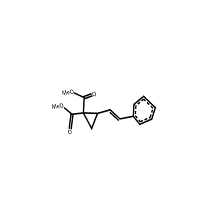 COC(=O)C1(C(=O)OC)CC1C=Cc1ccccc1